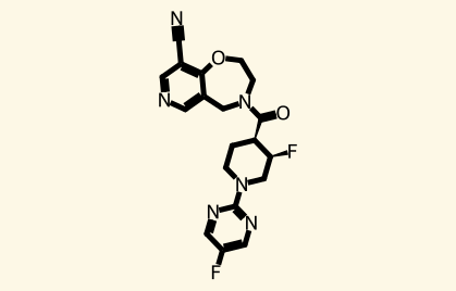 N#Cc1cncc2c1OCCN(C(=O)[C@@H]1CCN(c3ncc(F)cn3)C[C@@H]1F)C2